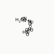 COc1ncc(C2CN([C@@H]3CCCC[C@@H]3Oc3ccc4c(c3)CN(C3CCC(=O)NC3=O)C4=O)C2)cn1